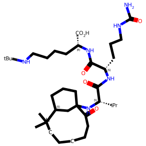 CC(C)[C@H](NC12CCC[C@@H](C1)C(C)(C)CCCCCC2=O)C(=O)N[C@@H](CCCNC(N)=O)C(=O)N[C@H](CCCCNC(C)(C)C)C(=O)O